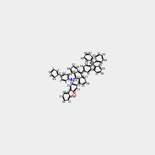 c1ccc(-c2ccc(N(c3ccc4oc5ccccc5c4c3)c3c4ccccc4c(-c4ccc([Si](c5ccccc5)(c5ccccc5)c5ccccc5)cc4)c4ccccc34)cc2)cc1